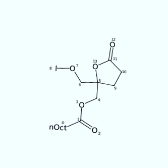 CCCCCCCCC(=O)OCC1(COI)CCC(=O)O1